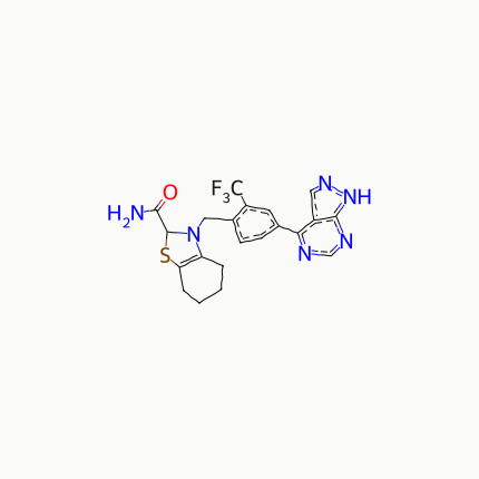 NC(=O)C1SC2=C(CCCC2)N1Cc1ccc(-c2ncnc3[nH]ncc23)cc1C(F)(F)F